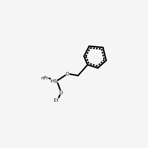 CCC[SiH](OCC)OCc1ccccc1